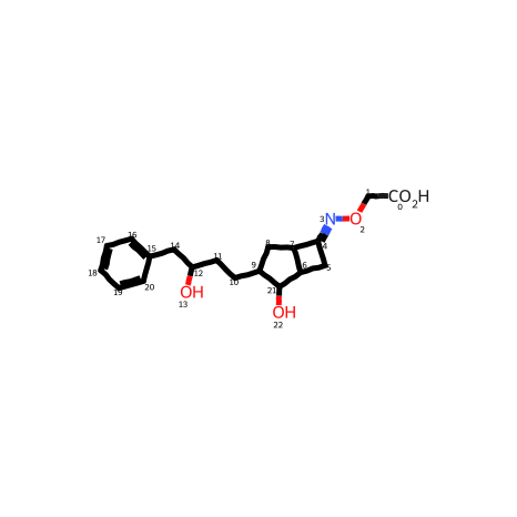 O=C(O)CON=C1CC2C1CC(CCC(O)Cc1ccccc1)C2O